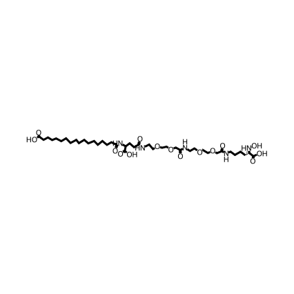 O=C(O)CCCCCCCCCCCCCCCCC(=O)NC(CCC(=O)NCCOCCOCC(=O)NCCOCCOCC(=O)NCCCC[C@H](NO)C(=O)O)C(=O)O